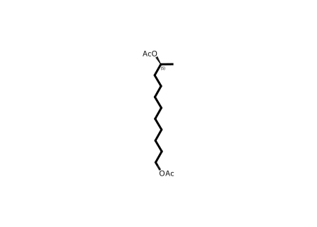 CC(=O)OCCCCCCCCC[C@H](C)OC(C)=O